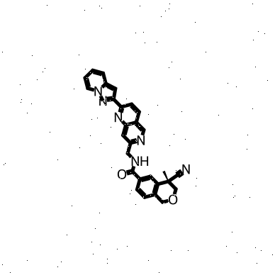 C[C@@]1(C#N)COCc2ccc(C(=O)NCc3cc4nc(-c5cc6ccccn6n5)ccc4cn3)cc21